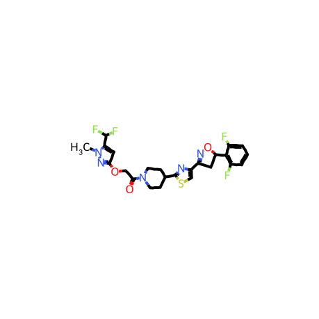 Cn1nc(OCC(=O)N2CCC(c3nc(C4=NOC(c5c(F)cccc5F)C4)cs3)CC2)cc1C(F)F